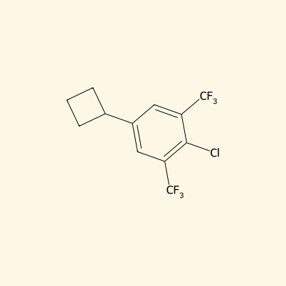 FC(F)(F)c1cc(C2CCC2)cc(C(F)(F)F)c1Cl